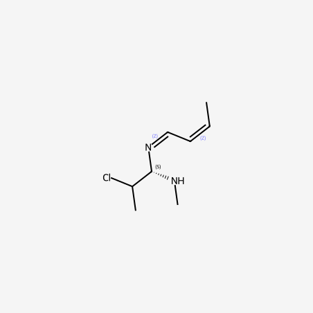 C/C=C\C=N/[C@H](NC)C(C)Cl